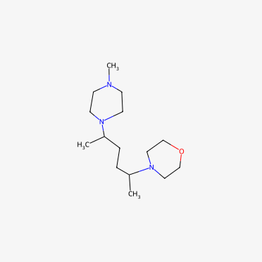 CC(CCC(C)N1CCN(C)CC1)N1CCOCC1